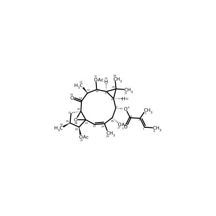 C/C=C(\C)C(=O)O[C@H]1[C@H]2[C@@H](C(OC(C)=O)[C@H](C)C(=O)[C@@]34C[C@H](C)[C@H](OC(C)=O)C3(/C=C(/C)[C@H]1OC(C)=O)O4)C2(C)C